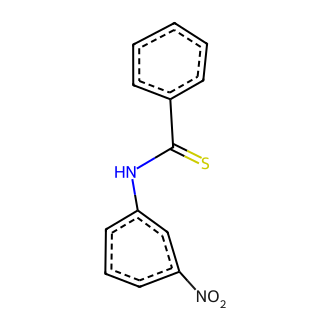 O=[N+]([O-])c1cccc(NC(=S)c2ccccc2)c1